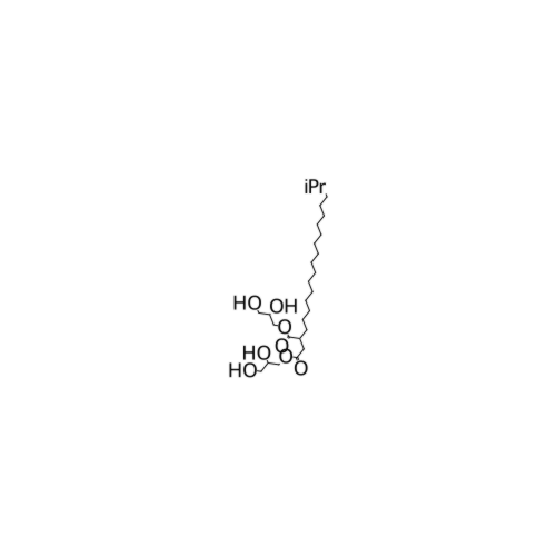 CC(C)CCCCCCCCCCCCCCCC(CC(=O)OCC(O)CO)C(=O)OCC(O)CO